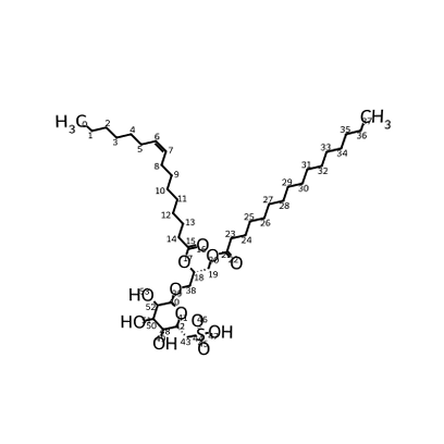 CCCCCC/C=C\CCCCCCCC(=O)O[C@H](COC(=O)CCCCCCCCCCCCCCC)CO[C@H]1O[C@H](CS(=O)(=O)O)[C@@H](O)C(O)C1O